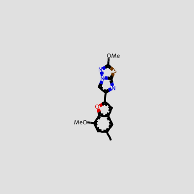 COc1nn2cc(-c3cc4cc(C)cc(OC)c4o3)nc2s1